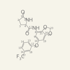 O=C1CCC(C(=O)Nc2cc(Oc3cccc(C(F)(F)F)c3)cc3c2OCO3)N1